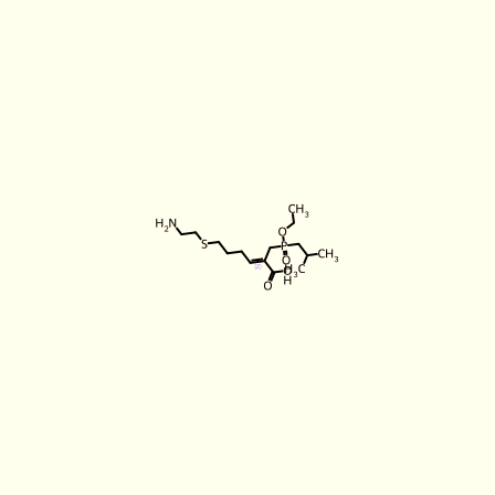 CCOP(=O)(C/C(=C\CCCSCCN)C(=O)O)CC(C)C